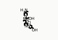 Cc1nc(N2CCC(C)(C(C)N)CC2)c(CO)nc1-c1ccnc(N2CCC(CO)CC2)c1Cl